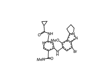 CNC(=O)c1cnc(NC(=O)C2CC2)cc1Nc1cc(Br)c2nn3c(c2c1OC)CCC3